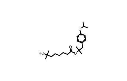 CC(C)Oc1ccc(CC(C)(C)OC(=O)CCCCCC(C)(C)O)cc1